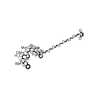 CC[C@H](C)[C@@H]([C@@H](CC(=O)N1CCC[C@H]1[C@H](OC)[C@@H](C)C(=O)N[C@@H](Cc1ccccc1)C(=O)OC(C)(C)C)OC)N(C)C(=O)[C@@H](NC(=O)[C@]1(C)CCCN1C(=O)CCOCCOCCOCCOCCOCCOCCN1C(=O)C=CC1=O)C(C)C